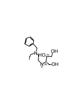 CN(CCN(CI)Cc1ccccc1)[C@H](CO)[C@H](O)CO